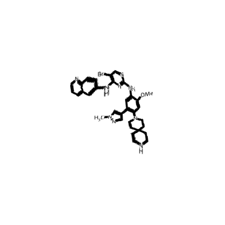 COc1cc(N2CCC3(CCNCC3)CC2)c(-c2cnn(C)c2)cc1Nc1ncc(Br)c(Nc2ccc3ncccc3c2)n1